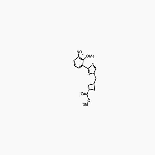 COc1c(-c2ncn(CC3CN(C(=O)OC(C)(C)C)C3)n2)cccc1[N+](=O)[O-]